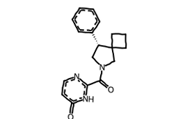 O=C(c1nccc(=O)[nH]1)N1C[C@H](c2ccccc2)C2(CCC2)C1